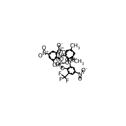 Cc1cc(C)c(OP(=O)(Oc2c(C)cc([N+](=O)[O-])cc2[N+](=O)[O-])Oc2c([N+](=O)[O-])cc([N+](=O)[O-])cc2C(F)(F)F)c([N+](=O)[O-])c1